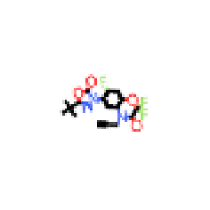 C#CCN1C(=O)C(F)(F)Oc2cc(F)c(-n3nc(C(C)(C)C)oc3=O)cc21